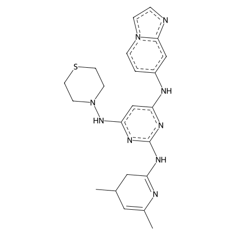 CC1=CC(C)CC(Nc2nc(Nc3ccn4ccnc4c3)cc(NN3CCSCC3)n2)=N1